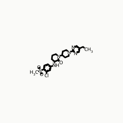 CCc1cnc(N2CCC(N3CCC[C@H](Nc4ccc(S(C)(=O)=O)c(Cl)c4)C3=O)CC2)nc1